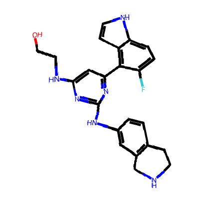 OCCNc1cc(-c2c(F)ccc3[nH]ccc23)nc(Nc2ccc3c(c2)CNCC3)n1